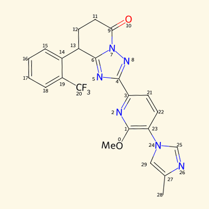 COc1nc(-c2nc3n(n2)C(=O)CCC3c2ccccc2C(F)(F)F)ccc1-n1cnc(C)c1